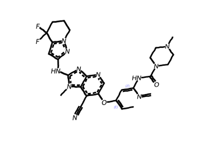 C=N/C(=C\C(=C/C)Oc1cnc2nc(Nc3cc4n(n3)CCCC4(F)F)n(C)c2c1C#N)NC(=O)N1CCN(C)CC1